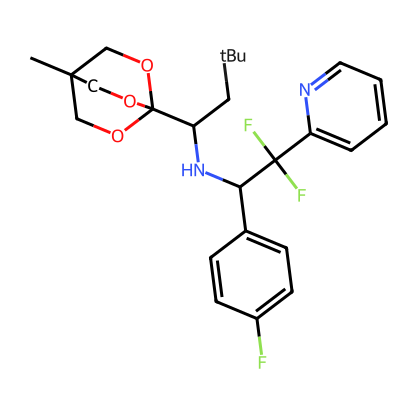 CC(C)(C)CC(NC(c1ccc(F)cc1)C(F)(F)c1ccccn1)C12OCC(C)(CO1)CO2